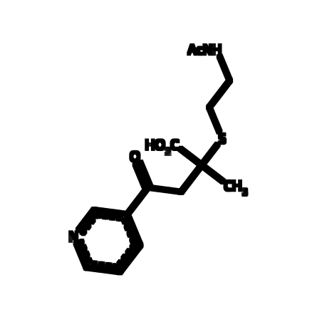 CC(=O)NCCSC(C)(CC(=O)c1cccnc1)C(=O)O